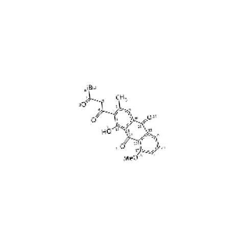 CCC(C)C(=O)CC(=O)c1c(C)cc2c(c1O)C(=O)c1c(OC)cccc1C2=O